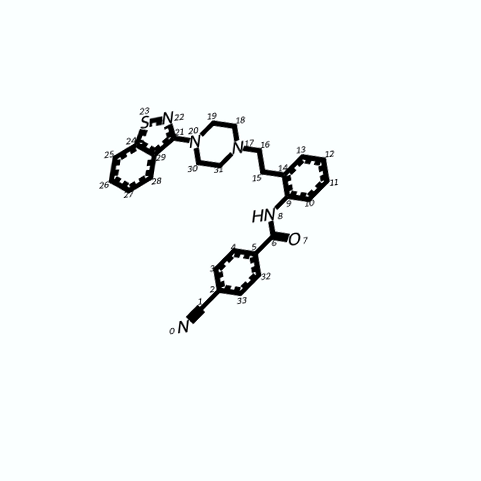 N#Cc1ccc(C(=O)Nc2ccccc2CCN2CCN(c3nsc4ccccc34)CC2)cc1